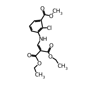 CCOC(=O)C(=CNc1cccc(C(=O)OC)c1Cl)C(=O)OCC